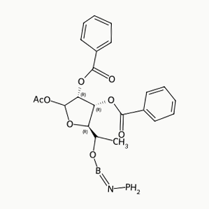 CC(=O)OC1O[C@H](C(C)OB=NP)[C@@H](OC(=O)c2ccccc2)[C@H]1OC(=O)c1ccccc1